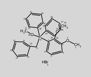 Br.COc1cccc(P(Cc2ccccc2)(OC)(c2ccccc2)c2ccccc2)c1OC